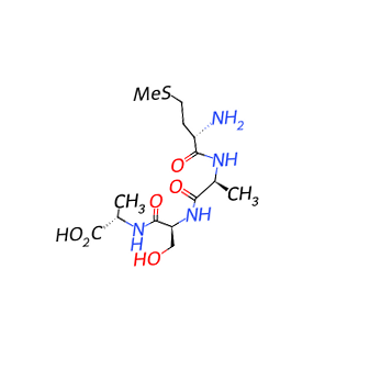 CSCC[C@H](N)C(=O)N[C@@H](C)C(=O)N[C@@H](CO)C(=O)N[C@@H](C)C(=O)O